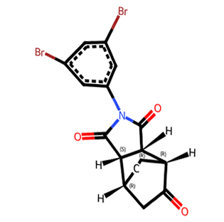 O=C1C[C@H]2CC[C@@H]1[C@H]1C(=O)N(c3cc(Br)cc(Br)c3)C(=O)[C@@H]21